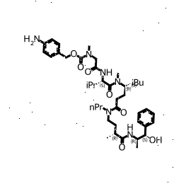 CCCN(CC[C@@H](C)C(=O)N[C@H](C)[C@@H](O)c1ccccc1)C(=O)CC[C@H]([C@@H](C)CC)N(C)C(=O)[C@@H](NC(=O)CN(C)C(=O)OCc1ccc(N)cc1)C(C)C